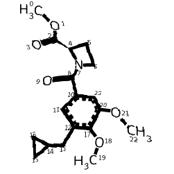 COC(=O)[C@H]1CCN1C(=O)c1cc(CC2CC2)c(OC)c(OC)c1